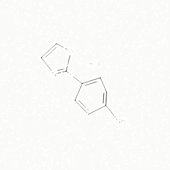 Cl.Nc1ccc(-c2ncco2)cc1